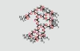 CC1(C)OCC(COCC(COCC2COC(C)(C)O2)OCC(COC(COCC2COC(C)(C)O2)COCC2COC(C)(C)O2)OCC(=O)COC(COC(COCC2COC(C)(C)O2)COCC2COC(C)(C)O2)COC(COCC2COC(C)(C)O2)COCC2COC(C)(C)O2)O1